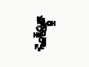 Cc1nnc(N2c3cccc(C(=O)Nc4ccc(OC(F)(F)F)nc4)c3OC[C@@H]2CO)s1